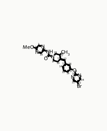 COc1cnc(NC(=O)N2CCC(=Cc3cccc(Oc4ncc(Br)cn4)c3)C(C)C2)cn1